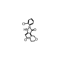 O=c1c2c3n(c(=O)cc2[nH]n1-c1ccccc1Cl)CCOC3